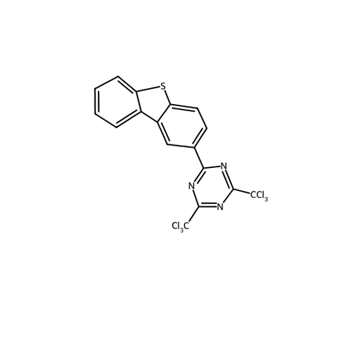 ClC(Cl)(Cl)c1nc(-c2ccc3sc4ccccc4c3c2)nc(C(Cl)(Cl)Cl)n1